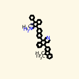 C/C=c1/c(-c2ccccc2)c2ccccc2c(-c2ccc3cc(-c4c5ccccc5c(-c5ccc6c(c5)C(C)(C)c5ccccc5-6)c5ccncc45)ccc3c2)/c1=C/N